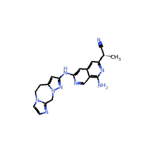 C[C@@H](C#N)c1cc2cc(Nc3cc4n(n3)Cc3nccn3CC4)ncc2c(N)n1